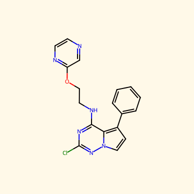 Clc1nc(NCCOc2cnccn2)c2c(-c3ccccc3)ccn2n1